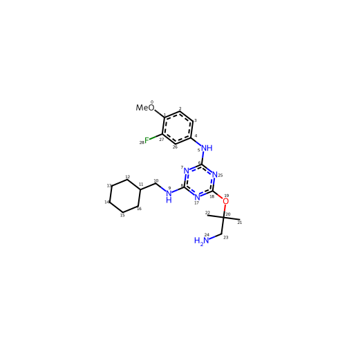 COc1ccc(Nc2nc(NCC3CCCCC3)nc(OC(C)(C)CN)n2)cc1F